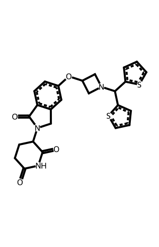 O=C1CCC(N2Cc3cc(OC4CN(C(c5cccs5)c5cccs5)C4)ccc3C2=O)C(=O)N1